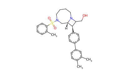 Cc1ccc(-c2ccc([C@@H]3C(CO)N4CCCCN(S(=O)(=O)c5ccccc5C)C[C@@H]34)cc2)cc1C